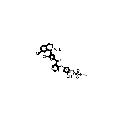 CN1CCc2ccc(Cl)cc2C1c1cc(C(=O)c2cncnc2N[C@@H]2C[C@H](COS(N)(=O)=O)[C@@H](O)C2)sc1Cl